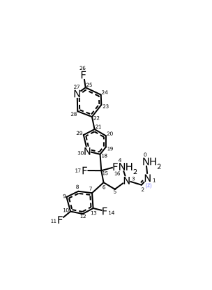 N/N=C\N(N)CC(c1ccc(F)cc1F)C(F)(F)c1ccc(-c2ccc(F)nc2)cn1